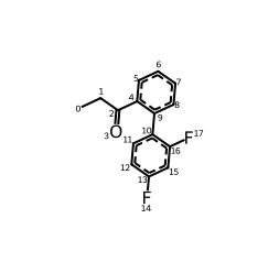 CCC(=O)c1ccccc1-c1ccc(F)cc1F